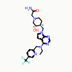 CCN(Cc1ccc(C(F)(F)F)cn1)c1ncnc2c1ccn2C[C@@H]1CCN(CC(N)=O)C[C@H]1O